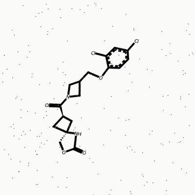 O=C1N[C@]2(CO1)C[C@H](C(=O)N1CC(COc3ccc(Cl)cc3Cl)C1)C2